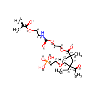 C=C(C)C(=O)OCCNC(=O)OCCOC(=O)C(C)(C)CC(CC)(COCCP(=O)(O)O)C(C)=O